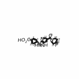 O=C(O)c1ccc(N2NNc3cc(C(=O)N4CCC(F)(F)CC4)cnc32)cc1